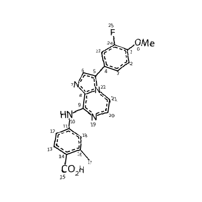 COc1ccc(-c2cnc3c(Nc4ccc(C(=O)O)c(C)c4)nccn23)cc1F